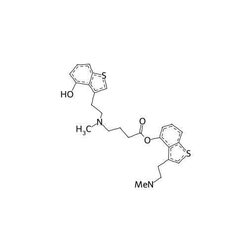 CNCCc1csc2cccc(OC(=O)CCCN(C)CCc3csc4cccc(O)c34)c12